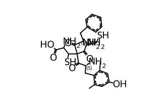 Cc1cc(O)cc(C)c1C[C@H](N)C(=O)C(C(=O)[C@H](N)CS)(C(=O)[C@@H](N)Cc1ccccc1)C(S)C(N)C(=O)O